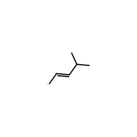 [CH2]C=CC(C)C